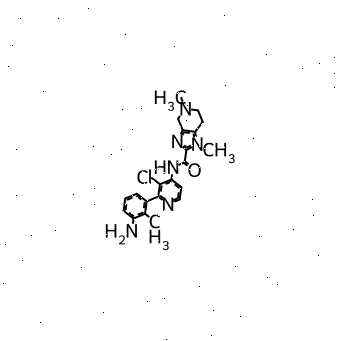 Cc1c(N)cccc1-c1nccc(NC(=O)c2nc3c(n2C)CCN(C)C3)c1Cl